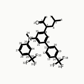 CC(=O)C(CC(C)C)c1cc(-c2ccc(C(F)(F)F)cc2)cc(N(C)c2cccc(C(F)(F)F)c2)c1